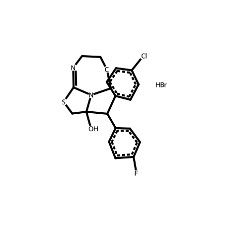 Br.OC1(C(c2ccc(F)cc2)c2ccc(Cl)cc2)CSC2=NCCCCN21